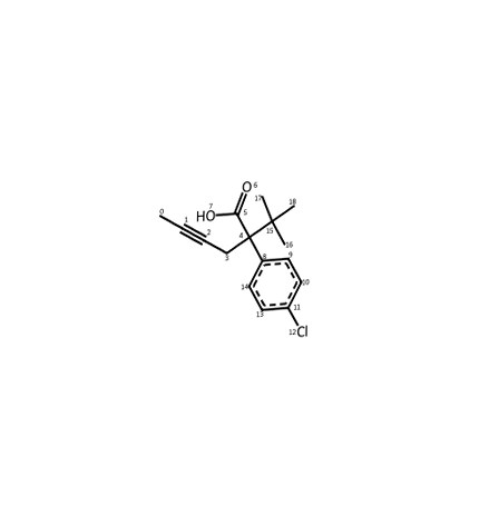 CC#CCC(C(=O)O)(c1ccc(Cl)cc1)C(C)(C)C